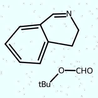 C1=NCCc2ccccc21.CC(C)(C)OC=O